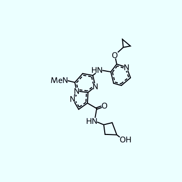 CNc1cc(Nc2cccnc2OC2CC2)nc2c(C(=O)NC3CC(O)C3)cnn12